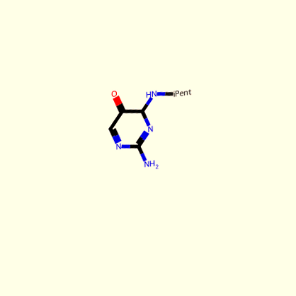 CCCC(C)NC1N=C(N)N=CC1=O